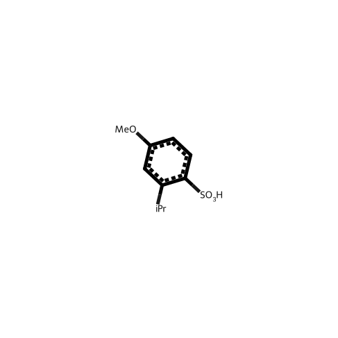 COc1ccc(S(=O)(=O)O)c(C(C)C)c1